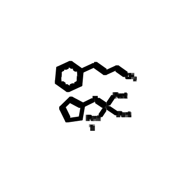 C=CC=Cc1ccccc1.CCCC(C)P(=NC1=CC=CC1)(C(C)CCC)C(C)CCC.[Ti]